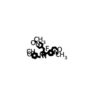 COc1ccc(Cn2cc(CC3CCN(C(C)=O)CC3)c(-c3ccc4c(c3F)CCC(=O)N4C)n2)cc1